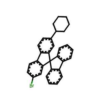 Brc1ccc2c(c1)C1(c3ccccc3-c3ccccc31)c1cc(C3CCCCC3)ccc1-2